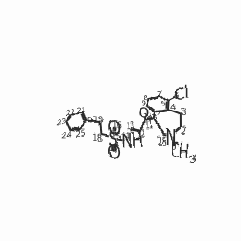 CN1CCc2c(Cl)ccc3oc(CCNS(=O)(=O)CCc4ccccc4)c(c23)C1